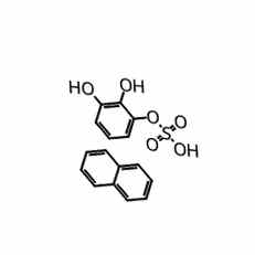 O=S(=O)(O)Oc1cccc(O)c1O.c1ccc2ccccc2c1